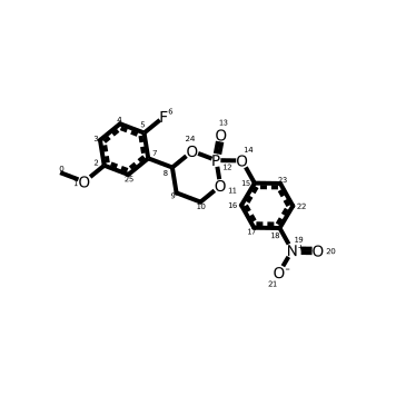 COc1ccc(F)c(C2CCOP(=O)(Oc3ccc([N+](=O)[O-])cc3)O2)c1